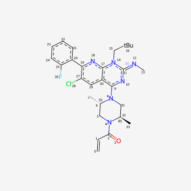 C=CC(=O)N1C[C@H](C)N(c2n/c(=N\C)n(CC(C)(C)C)c3nc(-c4ccccc4F)c(Cl)cc23)C[C@H]1C